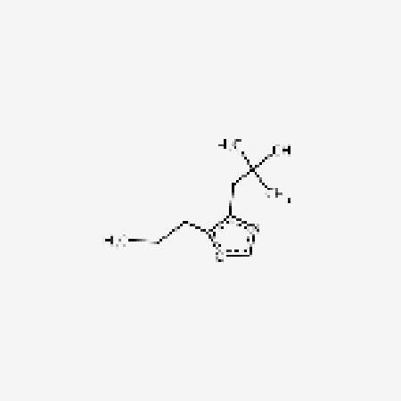 CCCc1ocnc1CC(C)(C)C